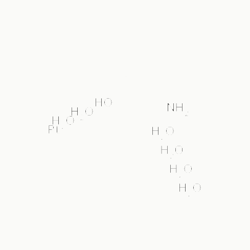 CC(N)CO.O.O.O.O.O.O.[Pt]